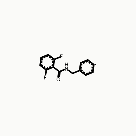 O=C(NCc1cc[c]cc1)c1c(F)cccc1F